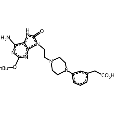 CCCCOc1nc(N)c2[nH]c(=O)n(CCN3CCN(c4cccc(CC(=O)O)c4)CC3)c2n1